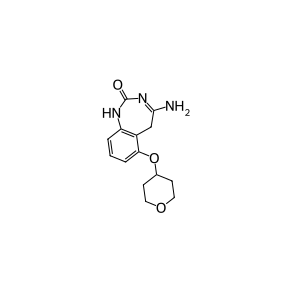 NC1=NC(=O)Nc2cccc(OC3CCOCC3)c2C1